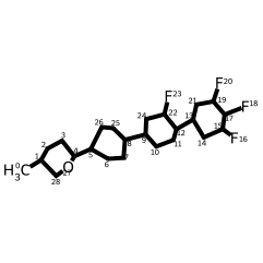 CC1CCC(C2CCC(C3CCC(C4CC(F)C(F)C(F)C4)C(F)C3)CC2)OC1